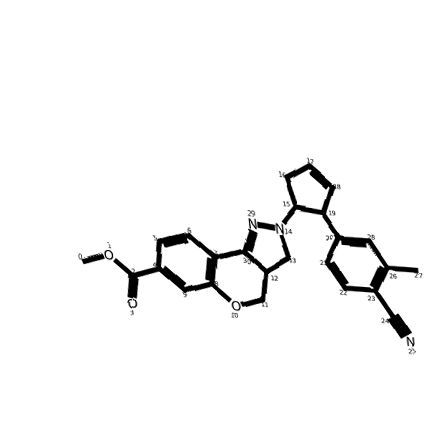 COC(=O)c1ccc2c(c1)OCC1CN(C3CC=CC3c3ccc(C#N)c(C)c3)N=C21